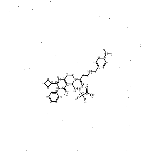 CN(C)c1ccc(CNCCC(=O)N2CCc3nc(C4CCC4)n(-c4ccccc4)c(=O)c3C2S)cc1.O=C(O)C(F)(F)F